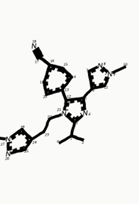 CC(C)c1nc(-c2cnn(C)c2)c(-c2ccc(C#N)cc2)n1CCc1cnn(C)c1